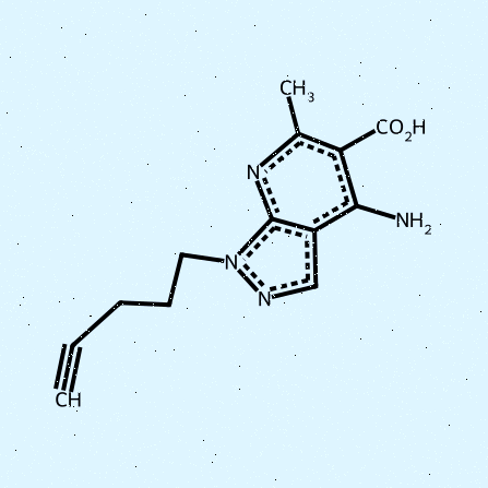 C#CCCCn1ncc2c(N)c(C(=O)O)c(C)nc21